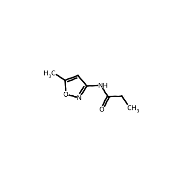 C[CH]C(=O)Nc1cc(C)on1